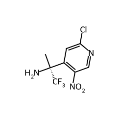 C[C@](N)(c1cc(Cl)ncc1[N+](=O)[O-])C(F)(F)F